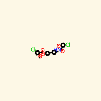 COc1ccc(Cl)cc1C(=O)NCc1ccc(-c2ccc(OC(=O)c3cc(Cl)ccc3OC)cc2)cc1